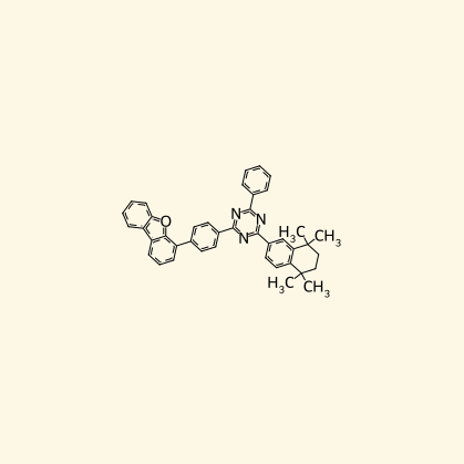 CC1(C)CCC(C)(C)c2cc(-c3nc(-c4ccccc4)nc(-c4ccc(-c5cccc6c5oc5ccccc56)cc4)n3)ccc21